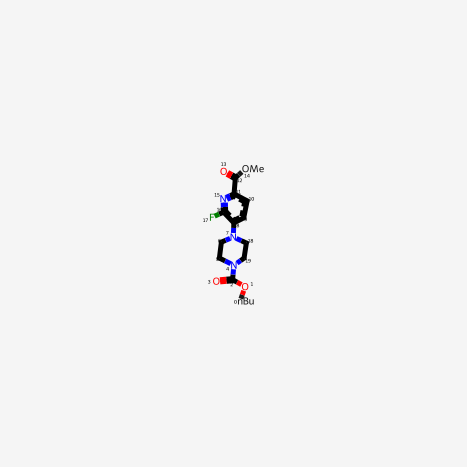 CCCCOC(=O)N1CCN(c2ccc(C(=O)OC)nc2F)CC1